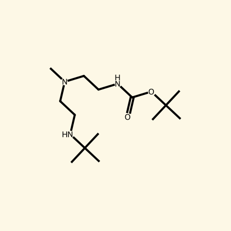 CN(CCNC(=O)OC(C)(C)C)CCNC(C)(C)C